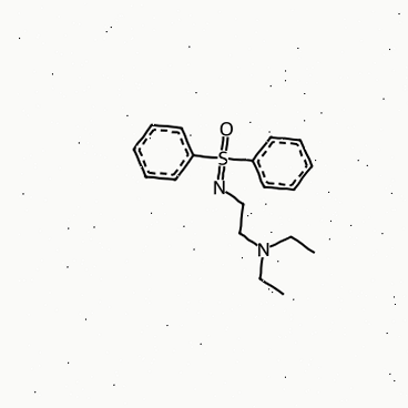 CCN(CC)CCN=S(=O)(c1ccccc1)c1ccccc1